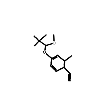 C=CC1C=CC(OC(OC)C(C)(C)C)=CC1C